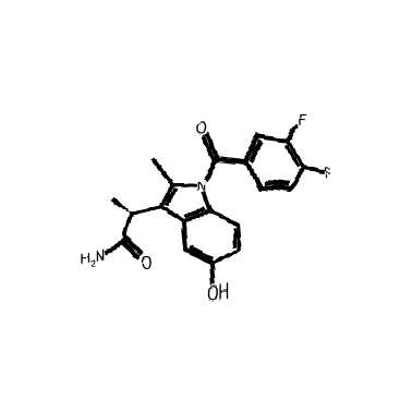 Cc1c([C@H](C)C(N)=O)c2cc(O)ccc2n1C(=O)c1ccc(F)c(F)c1